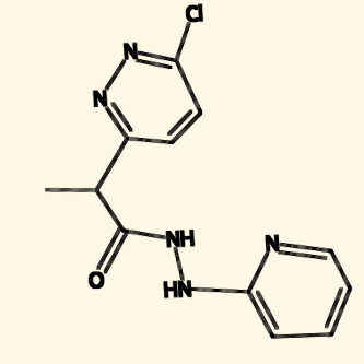 CC(C(=O)NNc1ccccn1)c1ccc(Cl)nn1